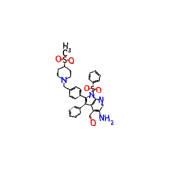 CS(=O)(=O)C1CCN(Cc2ccc(-c3c(-c4ccccc4)c4c(C=O)c(N)cnc4n3S(=O)(=O)c3ccccc3)cc2)CC1